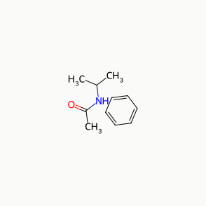 CC(=O)NC(C)C.c1ccccc1